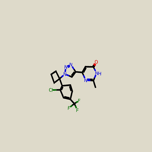 Cc1nc(-c2cn(C3(c4ccc(C(F)(F)F)cc4Cl)CCC3)nn2)cc(=O)[nH]1